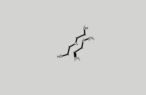 C=CCOC.OCCOCCO